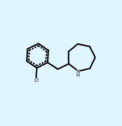 Clc1ccccc1CC1CCCCCN1